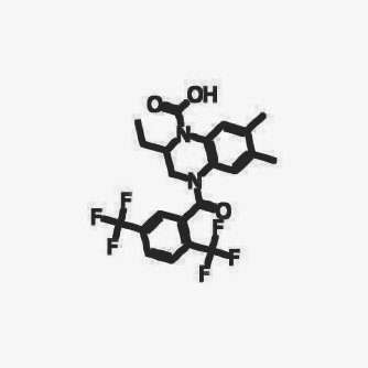 CCC1CN(C(=O)c2cc(C(F)(F)F)ccc2C(F)(F)F)c2cc(C)c(C)cc2N1C(=O)O